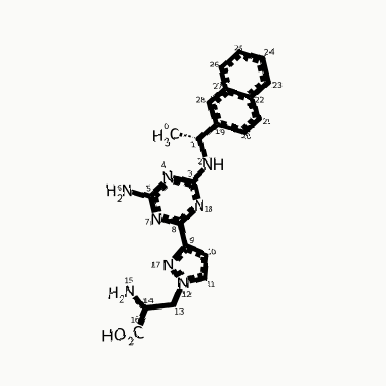 C[C@@H](Nc1nc(N)nc(-c2ccn(CC(N)C(=O)O)n2)n1)c1ccc2ccccc2c1